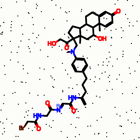 C=C(CCCc1ccc(N(C)CC2(C(=O)CO)CCC3C4CCC5=CC(=O)C=CC5(C)C4C(O)CC32C)cc1)NC(=O)/C=N/C(=O)CNC(=O)CBr